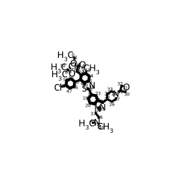 CCOC(=O)[C@@H](OC(C)(C)C)c1c(C)cc2nc(-c3ccc4c(c3)c(C3CCN(C5COC5)CC3)nn4CCN(C)C)sc2c1-c1ccc(Cl)cc1